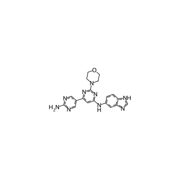 Nc1ncc(-c2cc(Nc3ccc4[nH]cnc4c3)nc(N3CCOCC3)n2)cn1